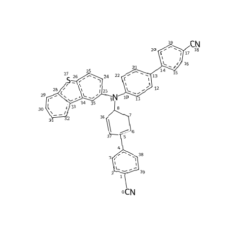 N#Cc1ccc(C2=CCC(N(c3ccc(-c4ccc(C#N)cc4)cc3)c3ccc4sc5ccccc5c4c3)C=C2)cc1